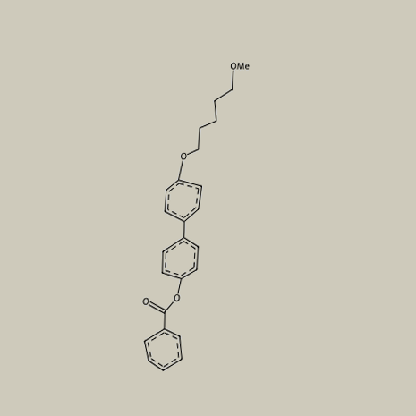 COCCCCCOc1ccc(-c2ccc(OC(=O)c3ccccc3)cc2)cc1